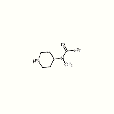 CCCC(=O)N(C)C1CCNCC1